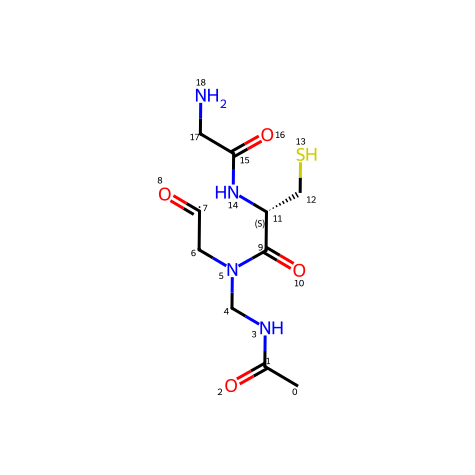 CC(=O)NCN(C[C]=O)C(=O)[C@@H](CS)NC(=O)CN